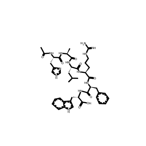 CC(=O)N[C@@H](Cc1c[nH]cn1)C(=O)N[C@@H](C)C(=O)N[C@@H](CC(C)C)C(=O)N[C@@H](CCCNC(=N)N)C(=O)N[C@@H](Cc1ccccc1)C(=O)N[C@@H](Cc1c[nH]c2ccccc12)C(=O)O